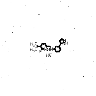 CC(C)c1ccc(CNc2cccc(-c3ccn[nH]3)c2)nc1F.Cl